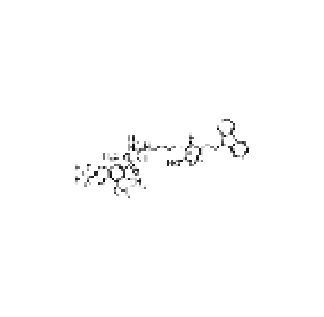 Cc1c(C)c(S(=O)(=O)NC(N)=NCCCC[C@H](NC(=O)CCC2c3ccccc3-c3ccccc32)C(=O)O)c(C)c2c1OC(C)(C)C2